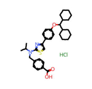 CC(C)N(Cc1ccc(C(=O)O)cc1)c1nc(-c2ccc(OC(C3CCCCC3)C3CCCCC3)cc2)cs1.Cl